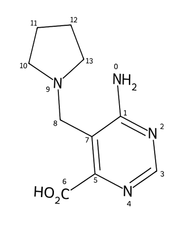 Nc1ncnc(C(=O)O)c1CN1CCCC1